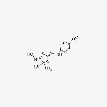 CC1(C)S/C(=N\Nc2ccc(C#N)cc2)S/C1=N\O